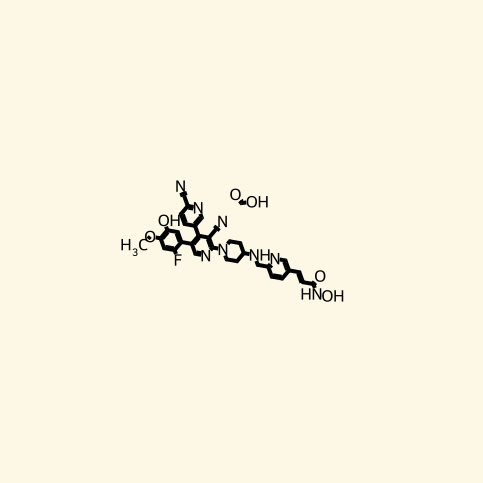 COc1cc(F)c(-c2cnc(N3CCC(NCc4ccc(/C=C/C(=O)NO)cn4)CC3)c(C#N)c2-c2ccc(C#N)nc2)cc1O.O=CO